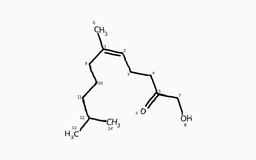 CC(=CCCC(=O)CO)CCCC(C)C